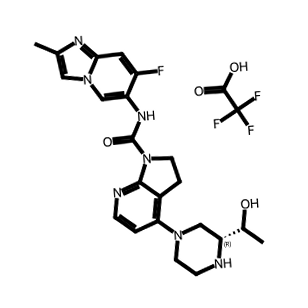 Cc1cn2cc(NC(=O)N3CCc4c(N5CCN[C@@H](C(C)O)C5)ccnc43)c(F)cc2n1.O=C(O)C(F)(F)F